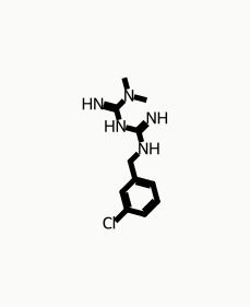 CN(C)C(=N)NC(=N)NCc1cccc(Cl)c1